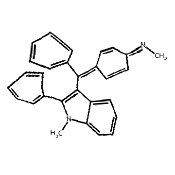 CN=C1C=CC(=C(c2ccccc2)c2c(-c3ccccc3)n(C)c3ccccc23)C=C1